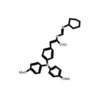 COc1ccc(N(c2ccc(/C=C(\C=O)OC=NC3CCCCC3)cc2)c2ccc(OC)cc2)cc1